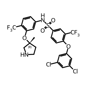 C[C@@]1(Oc2cc(NS(=O)(=O)c3ccc(Oc4cc(Cl)cc(Cl)c4)c(C(F)(F)F)c3)ccc2C(F)(F)F)CCNC1